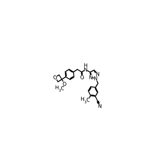 COC1(c2ccc(CC(=O)Nc3cnn(Cc4ccc(C)c(C#N)c4)n3)cc2)COC1